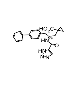 O=C(N[C@@H](Cc1ccc(-c2ccccc2)cc1)CC1(C(=O)O)CC1)c1cnn[nH]1